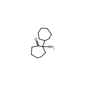 NC1(C2CCCCCC2)CCCCCC1=O